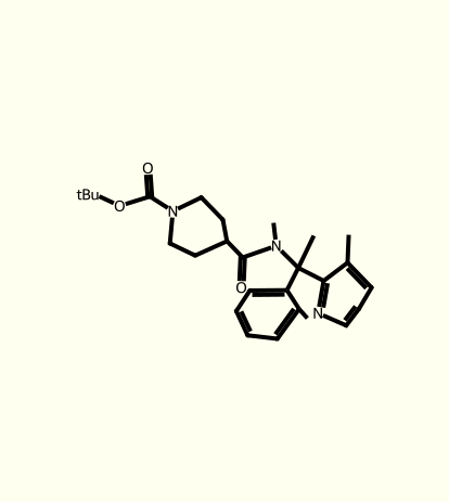 Cc1ccccc1C(C)(c1ncccc1C)N(C)C(=O)C1CCN(C(=O)OC(C)(C)C)CC1